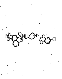 O=S(=O)(NCC1CCN(C[C@H]2COc3ccc(Cl)cc3O2)CC1)c1cc2nnoc2c2ccccc12